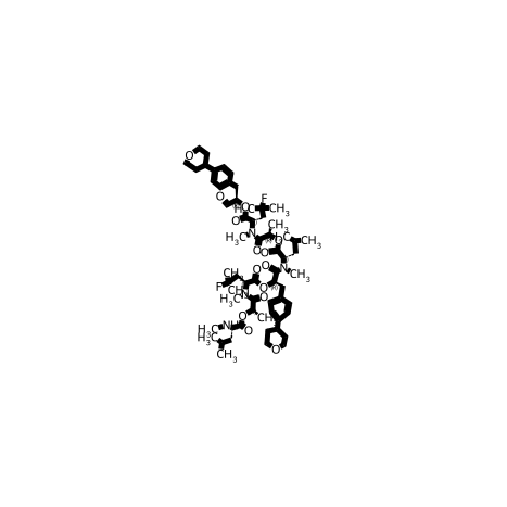 CN[C@@H](CC(C)C)C(=O)O[C@H](C)C(=O)N(C)[C@@H](CC(C)(C)F)C(=O)O[C@H](Cc1ccc(C2CCOCC2)cc1)C(=O)N(C)[C@@H](CC(C)C)C(=O)O[C@H](C)C(=O)N(C)[C@@H](CC(C)(C)F)C(=O)O[C@@H](C=O)Cc1ccc(C2CCOCC2)cc1